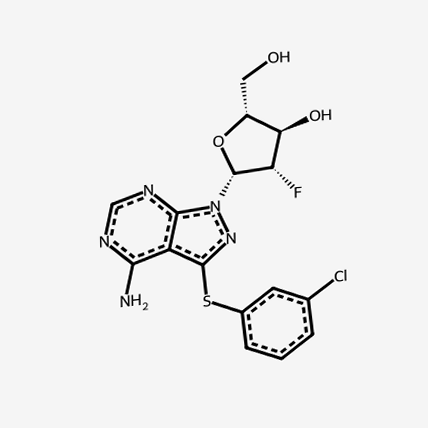 Nc1ncnc2c1c(Sc1cccc(Cl)c1)nn2[C@@H]1O[C@H](CO)[C@@H](O)[C@@H]1F